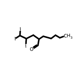 CCCCCC(C=O)CC(I)C(I)I